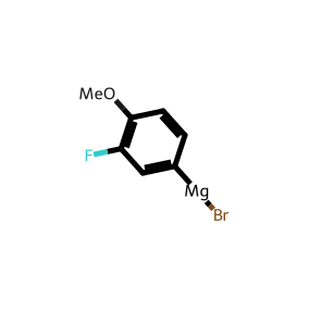 COc1cc[c]([Mg][Br])cc1F